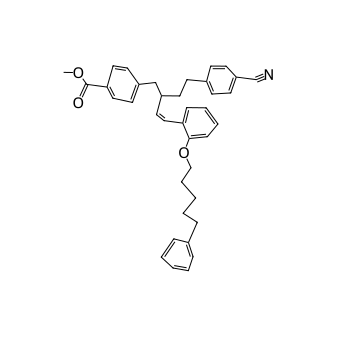 COC(=O)c1ccc(CC(/C=C\c2ccccc2OCCCCCc2ccccc2)CCc2ccc(C#N)cc2)cc1